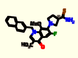 COc1c(N2CC[C@@H](C(N)=S)C2)c(F)cc2c(=O)c(C(=O)O)cn(Cc3ccc4ccccc4c3)c12